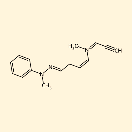 C#C/C=[N+](C)\C=C/C/C=N/N(C)c1ccccc1